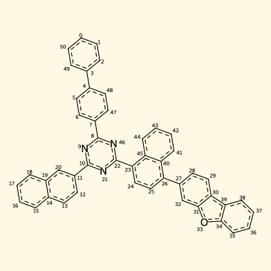 c1ccc(-c2ccc(-c3nc(-c4ccc5ccccc5c4)nc(-c4ccc(-c5ccc6c(c5)oc5ccccc56)c5ccccc45)n3)cc2)cc1